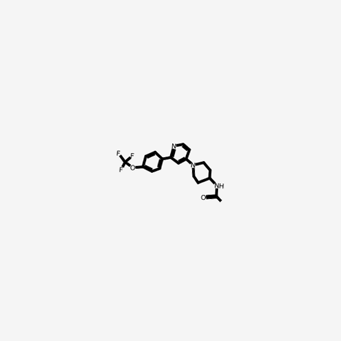 CC(=O)NC1CCN(c2ccnc(-c3ccc(OC(F)(F)F)cc3)c2)CC1